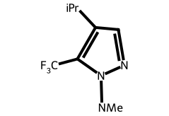 CNn1ncc(C(C)C)c1C(F)(F)F